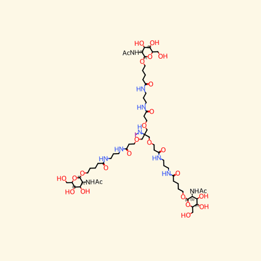 CC(=O)N[C@H]1C(O)[C@@H](O)C(CO)O[C@H]1OCCCCC(=O)NCCCNC(=O)CCOCC(COCCC(=O)NCCCNC(=O)CCCCO[C@@H]1OC(CO)[C@H](O)C(O)[C@@H]1NC(C)=O)(COCCC(=O)NCCCNC(=O)CCCCO[C@@H]1OC(CO)[C@H](O)C(O)[C@@H]1NC(C)=O)NI